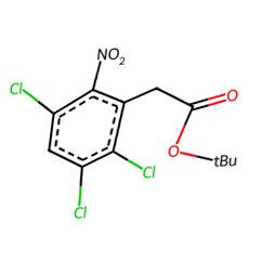 CC(C)(C)OC(=O)Cc1c(Cl)c(Cl)cc(Cl)c1[N+](=O)[O-]